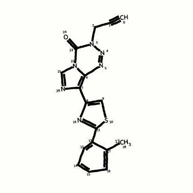 C#CCn1nnc2c(-c3csc(-c4ccccc4[13CH3])n3)ncn2c1=O